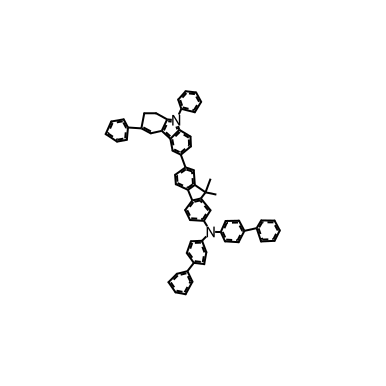 CC1(C)c2cc(-c3ccc4c(c3)c3c(n4-c4ccccc4)CCC(c4ccccc4)=C3)ccc2-c2ccc(N(c3ccc(-c4ccccc4)cc3)c3ccc(-c4ccccc4)cc3)cc21